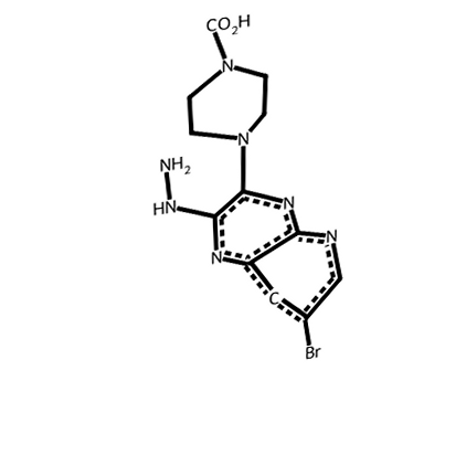 NNc1nc2cc(Br)cnc2nc1N1CCN(C(=O)O)CC1